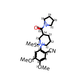 [CH2]S[N+]1(c2cc(OC)c(OC)cc2C#N)CCCC(C(=O)N2CCCC2)C1